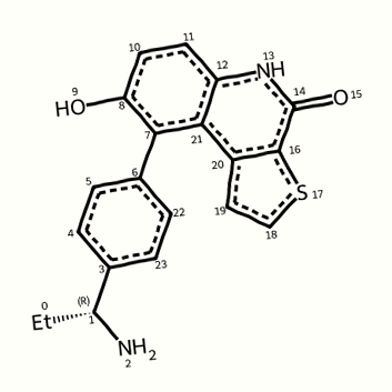 CC[C@@H](N)c1ccc(-c2c(O)ccc3[nH]c(=O)c4sccc4c23)cc1